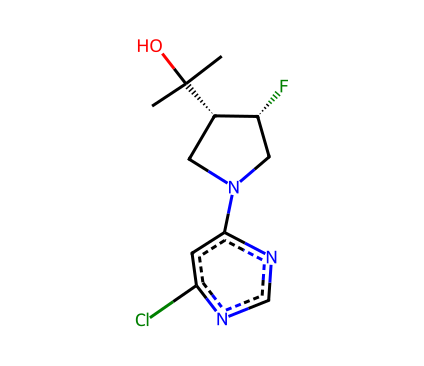 CC(C)(O)[C@H]1CN(c2cc(Cl)ncn2)C[C@H]1F